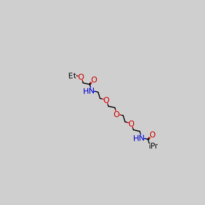 CCOCC(=O)NCCOCCOCCOCCNC(=O)C(C)C